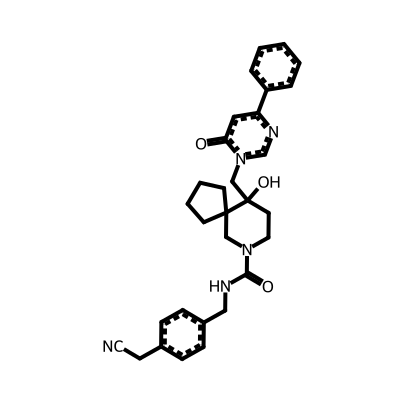 N#CCc1ccc(CNC(=O)N2CCC(O)(Cn3cnc(-c4ccccc4)cc3=O)C3(CCCC3)C2)cc1